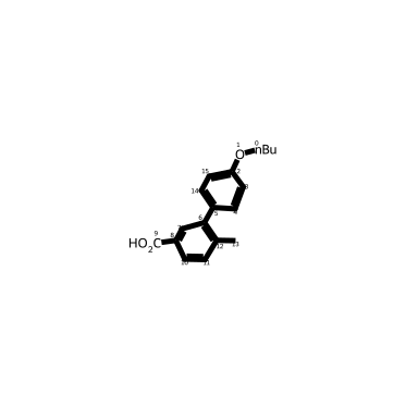 CCCCOc1ccc(-c2cc(C(=O)O)ccc2C)cc1